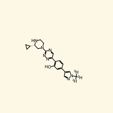 [2H]C([2H])([2H])n1cc(-c2ccc(-c3cnc(N4CCN[C@@H](C5CC5)C4)nn3)c(O)c2)cn1